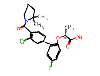 C[C@@H](Oc1ccc(F)cc1-c1ccc(C(=O)N2CCCC2(C)C)c(Cl)c1)C(=O)O